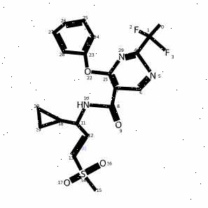 CC(F)(F)c1ncc(C(=O)NC(/C=C/S(C)(=O)=O)C2CC2)c(Oc2ccccc2)n1